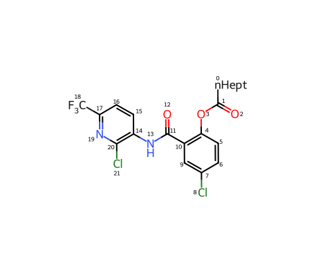 CCCCCCCC(=O)Oc1ccc(Cl)cc1C(=O)Nc1ccc(C(F)(F)F)nc1Cl